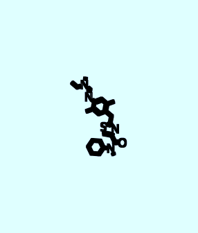 CCN(C)/C=N/c1cc(C)c(Cc2nc(C(=O)N(C)C3CCCCC3)cs2)cc1C